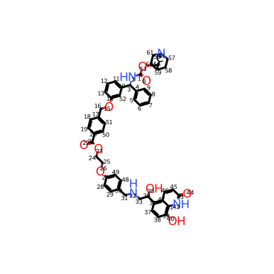 O=C(N[C@@H](c1ccccc1)c1cccc(OCc2ccc(C(=O)OCCOc3ccc(CNCC(O)c4ccc(O)c5[nH]c(=O)ccc45)cc3)cc2)c1)OC1CN2CCC1CC2